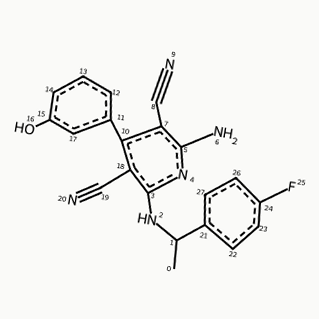 CC(Nc1nc(N)c(C#N)c(-c2cccc(O)c2)c1C#N)c1ccc(F)cc1